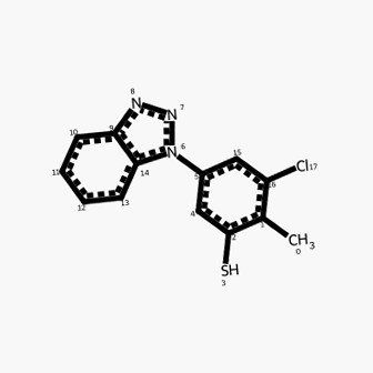 Cc1c(S)cc(-n2nnc3ccccc32)cc1Cl